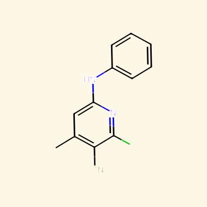 Cc1cc(Nc2ccccc2)nc(Cl)c1C#N